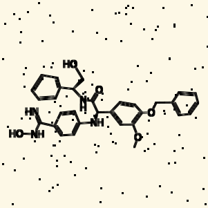 COc1cc([C@@H](Nc2ccc(C(=N)NO)cc2)C(=O)N[C@H](CO)c2ccccc2)ccc1OCc1ccccc1